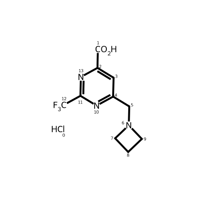 Cl.O=C(O)c1cc(CN2CCC2)nc(C(F)(F)F)n1